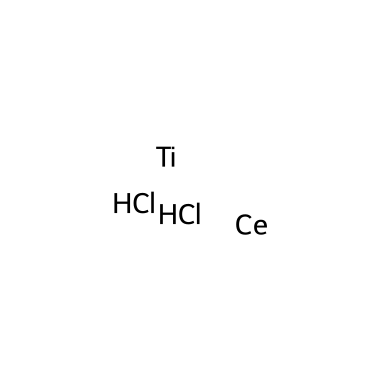 Cl.Cl.[Ce].[Ti]